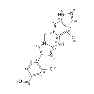 Cn1nc(-c2ccc(C=O)cc2Cl)nc1Nc1ccc2[nH]ncc2c1Cl